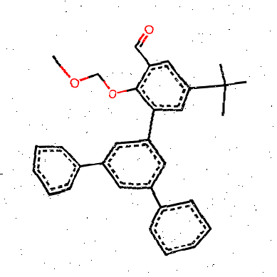 COCOc1c(C=O)cc(C(C)(C)C)cc1-c1cc(-c2ccccc2)cc(-c2ccccc2)c1